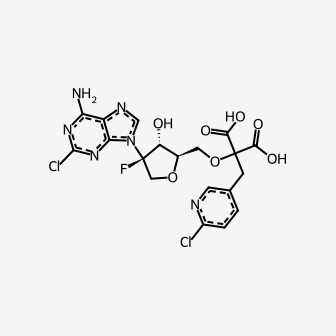 Nc1nc(Cl)nc2c1ncn2[C@@]1(F)CO[C@H](COC(Cc2ccc(Cl)nc2)(C(=O)O)C(=O)O)[C@H]1O